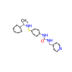 CC(NSc1ccc(NC(=O)NCc2ccncc2)cc1)c1ccccc1